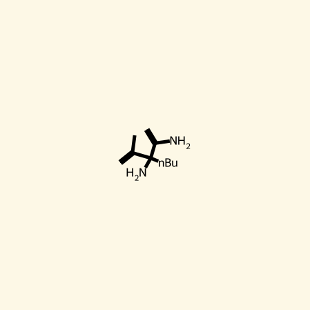 C=C(C)C(N)(CCCC)C(=C)N